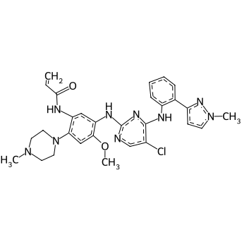 C=CC(=O)Nc1cc(Nc2ncc(Cl)c(Nc3ccccc3-c3ccn(C)n3)n2)c(OC)cc1N1CCN(C)CC1